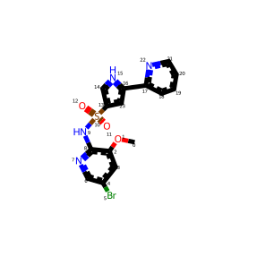 COc1cc(Br)cnc1NS(=O)(=O)c1c[nH]c(-c2ccccn2)c1